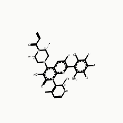 C=CC(=O)N1[C@H](C)CN(c2c(C#N)c(=O)n(C3=C(C)C=CN[C@@H]3C(C)C)c3nc(-c4c(N)c(Cl)c(F)c(Cl)c4Cl)c(Cl)cc23)C[C@@H]1C